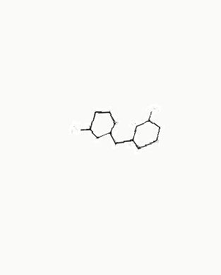 CC(C)C1CCCC(CC2CCCC(C(C)C)C2)C1